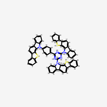 c1ccc2c(c1)sc1c2ccc2c3ccccc3n(-c3ccc(-c4nc(-n5c6ccccc6c6ccc7c8ccccc8sc7c65)nc(-n5c6ccccc6c6ccc7c8ccccc8sc7c65)n4)cc3)c21